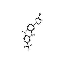 COc1ccc([C@H]2CC(Br)=NO2)cc1Nc1cccc(C(F)(F)F)c1